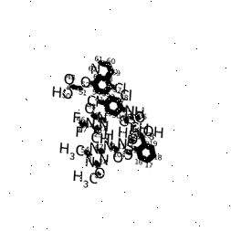 COc1nc(C)nc(NC(=O)NS(=O)(=O)c2ccccc2C(=O)O)n1.Cc1nn(-c2cc(NS(C)(=O)=O)c(Cl)cc2Cl)c(=O)n1C(F)F.O=C(O)COc1ccc(Cl)c2cccnc12